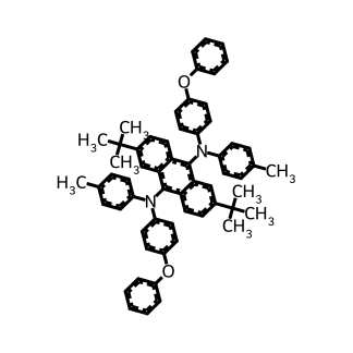 Cc1ccc(N(c2ccc(Oc3ccccc3)cc2)c2c3ccc(C(C)(C)C)cc3c(N(c3ccc(C)cc3)c3ccc(Oc4ccccc4)cc3)c3ccc(C(C)(C)C)cc23)cc1